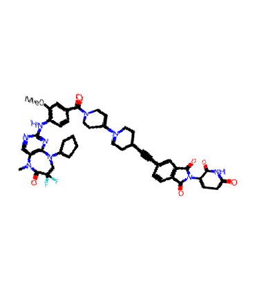 COc1cc(C(=O)N2CCC(N3CCC(C#Cc4ccc5c(c4)C(=O)N(C4CCC(=O)NC4=O)C5=O)CC3)CC2)ccc1Nc1ncc2c(n1)N(C1CCCC1)CC(F)(F)C(=O)N2C